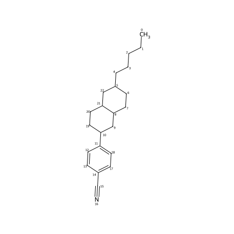 CCCCCC1CCC2CC(c3ccc(C#N)cc3)CCC2C1